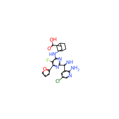 N=C(c1nc(NC2C3CCC(CC3)C2C(=O)O)c(F)c(-c2ccco2)n1)c1cc(Cl)cnc1N